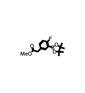 COC(=O)Cc1ccc(F)c(B2OC(C)(C)C(C)(C)O2)c1